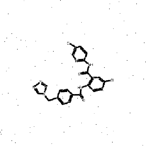 O=C(Nc1ccc(Cl)cc1C(=O)Nc1ccc(Cl)cn1)c1ccc(Cn2cnnc2)cc1